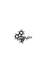 [CH2]=[Zr]([CH3])([Cl])([Cl])([NH]C(C)(C)C)([O]CCO)[CH]1c2ccccc2-c2ccccc21